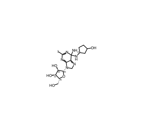 NC1(NC2CCC(O)C2)N=C(I)N=C2C1=NCN2[C@@H]1O[C@H](CO)[C@@H](O)[C@H]1O